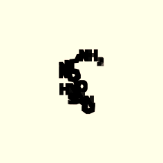 Cc1nc2cc(C(=O)Nc3nc(-c4ccccn4)cs3)ccc2n1CCCN